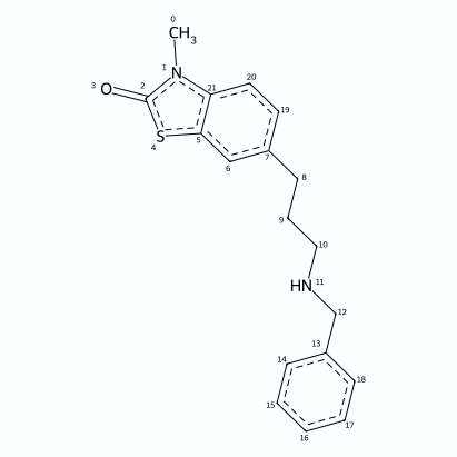 Cn1c(=O)sc2cc(CCCNCc3ccccc3)ccc21